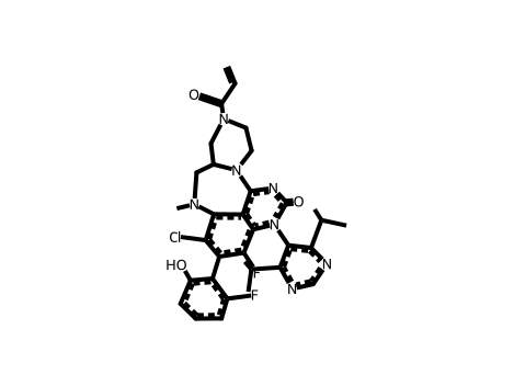 C=CC(=O)N1CCN2c3nc(=O)n(-c4c(C(C)C)ncnc4C(C)C)c4c(F)c(-c5c(O)cccc5F)c(Cl)c(c34)N(C)CC2C1